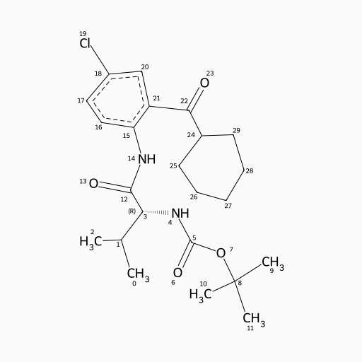 CC(C)[C@@H](NC(=O)OC(C)(C)C)C(=O)Nc1ccc(Cl)cc1C(=O)C1CCCCC1